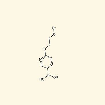 CCOCCOc1ccc(B(O)O)cn1